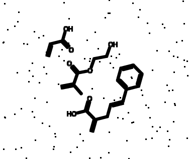 C=C(C)C(=O)OCCO.C=C(CC=Cc1ccccc1)C(=O)O.C=CC(=O)O